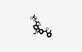 CCn1c2ccc(C(=O)c3ccccc3C)cc2c2c3c(ccc21)/C(=N/OC(C)=O)CS3